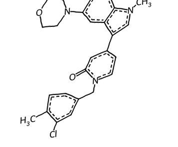 Cc1ccc(Cn2ccc(-c3cn(C)c4ncc(N5CCOCC5)cc34)cc2=O)cc1Cl